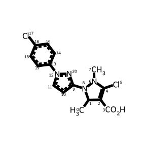 CC1C(C(=O)O)=C(Cl)N(C)N1c1ccn(-c2ccc(Cl)cc2)n1